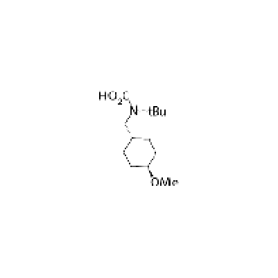 CO[C@H]1CC[C@H](CN(C(=O)O)C(C)(C)C)CC1